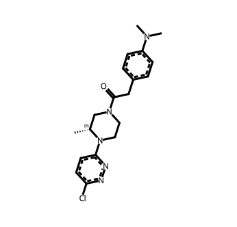 C[C@@H]1CN(C(=O)Cc2ccc(N(C)C)cc2)CCN1c1ccc(Cl)nn1